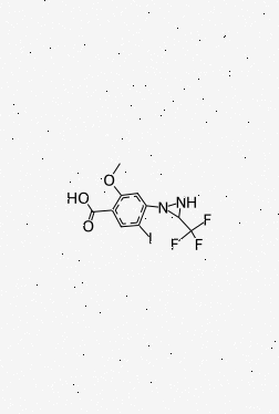 COc1cc(N2NC2C(F)(F)F)c(I)cc1C(=O)O